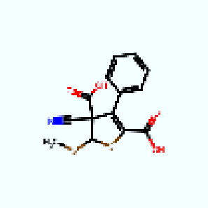 CSC1SC(C(=O)O)=C(c2ccccc2)C1(C#N)C(=O)O